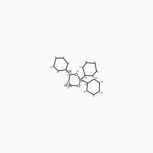 C1CCC([SiH]2O[SiH2]O[Si](C3CCCCC3)(C3CCCCC3)O2)CC1